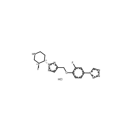 Cl.Fc1cc(-n2cnnn2)ccc1OCc1cnn([C@H]2CCNC[C@@H]2F)n1